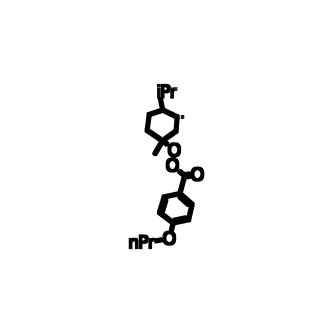 CCCOc1ccc(C(=O)OOC2(C)C[CH]C(C(C)C)CC2)cc1